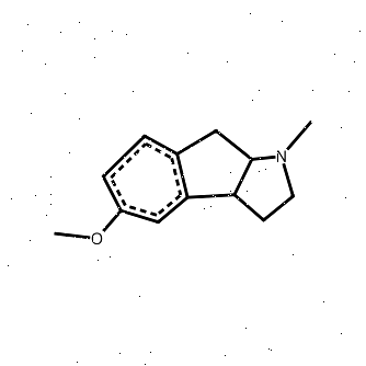 COc1ccc2c(c1)C1CCN(C)C1C2